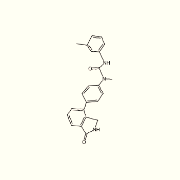 Cc1cccc(NC(=O)N(C)c2ccc(-c3cccc4c3CNC4=O)cc2)c1